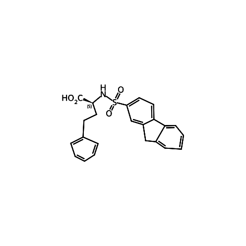 O=C(O)[C@H](CCc1ccccc1)NS(=O)(=O)c1ccc2c(c1)Cc1ccccc1-2